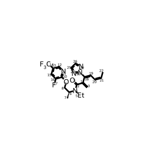 C=C(C(=O)N(CC)[C@@H](C)COc1ncc(C(F)(F)F)cc1F)/C(=C\C=C/C)n1nccn1